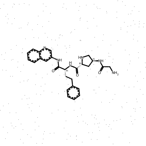 NCC(=O)N[C@@H]1CN[C@@H](C(=O)N[C@H](CCc2ccccc2)C(=O)Nc2cnc3ccccc3c2)C1